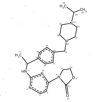 CC(Nc1nccc(N2CCOC2=O)n1)c1ccc(CN2CCN(C(C)C)CC2)cc1